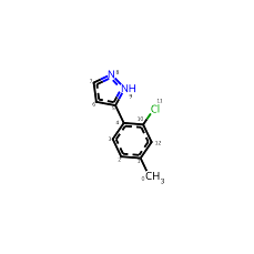 Cc1ccc(-c2ccn[nH]2)c(Cl)c1